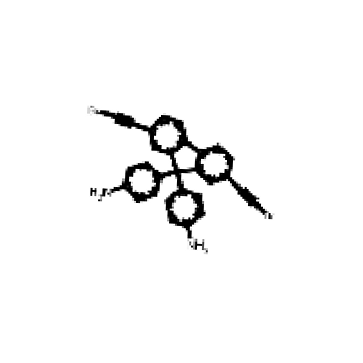 Nc1ccc(C2(c3ccc(N)cc3)c3cc(C#CBr)ccc3-c3ccc(C#CBr)cc32)cc1